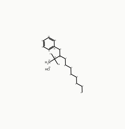 CCCCCCCCC(Cc1ccccc1)C(C)(C)N.Cl